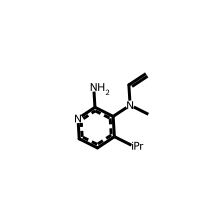 C=CN(C)c1c(C(C)C)ccnc1N